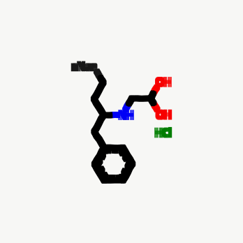 CCCCCCCCCCCC(Cc1ccccc1)NCC(O)O.Cl